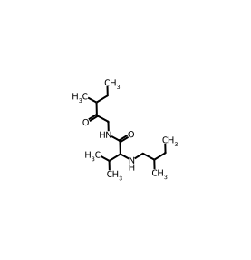 CCC(C)CNC(C(=O)NCC(=O)C(C)CC)C(C)C